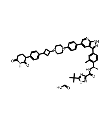 Cc1cc(-c2n[nH]c3ncc(-c4ccc(N5CCN(C6CC(c7ccc(C8CCC(=O)NC8=O)cc7)C6)CC5)cc4)cc23)ccc1[C@@H](C)NC(=O)c1noc(C(C)(C)C)n1.O=CO